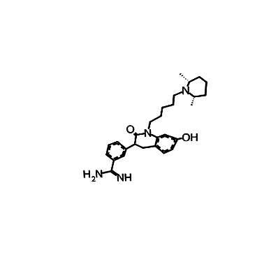 C[C@@H]1CCC[C@H](C)N1CCCCCN1C(=O)C(c2cccc(C(=N)N)c2)Cc2ccc(O)cc21